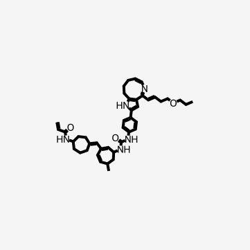 C=CC(=O)NC1CCC/C(=C\C2=CC(NC(=O)Nc3ccc(-c4cc5c([nH]4)CCC\C=C/N=C5/C=C/CCOCCC)cc3)CC(C)C=C2)CC1